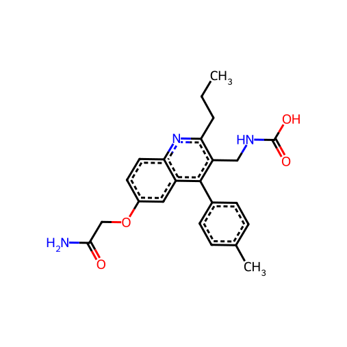 CCCc1nc2ccc(OCC(N)=O)cc2c(-c2ccc(C)cc2)c1CNC(=O)O